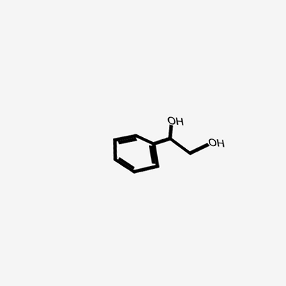 OC[C](O)c1ccccc1